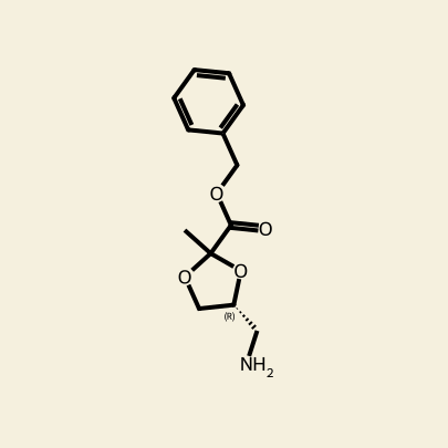 CC1(C(=O)OCc2ccccc2)OC[C@@H](CN)O1